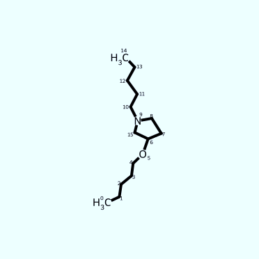 CCCCCOC1CCN(CCCCC)C1